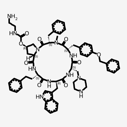 CN1C(=O)[C@H](Cc2ccc(OCc3ccccc3)cc2)NC(=O)[C@H](CN2CCNCC2)NC(=O)[C@@H](Cc2c[nH]c3ccccc23)NC(=O)[C@H](CCc2ccccc2)NC(=O)[C@@H]2C[C@@H](OC(=O)NCCN)CN2C(=O)[C@@H]1Cc1ccccc1